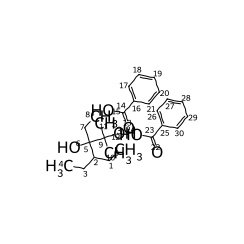 CCC(CC)C(O)(CC)C(C)(C)O.O=C(O)c1ccccc1.O=C(O)c1ccccc1